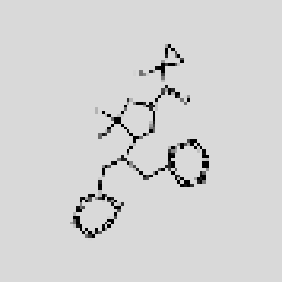 O=C(N1CC(N(Cc2ccccc2)Cc2ccccc2)C(F)(F)C1)C1(O)CC1